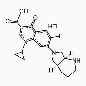 Cl.O=C(O)c1cn(C2CC2)c2cc(N3C[C@@H]4CCCN[C@@H]4C3)c(F)cc2c1=O